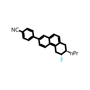 CCC[C@@H]1Cc2ccc3cc(-c4ccc(C#N)cc4)ccc3c2C[C@H]1F